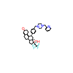 C[C@]12C[C@H](c3ccc(CN4CCN(Cc5ccccn5)CC4)cc3)C3=C4CCC(=O)C=C4CCC3C1CC[C@@]2(O)C(F)(F)C(F)(F)F